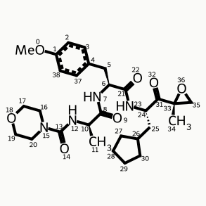 COc1ccc(C[C@H](NC(=O)[C@@H](C)NC(=O)N2CCOCC2)C(=O)N[C@@H](CC2CCCC2)C(=O)[C@@]2(C)CO2)cc1